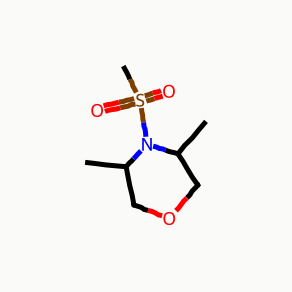 CC1COCC(C)N1S(C)(=O)=O